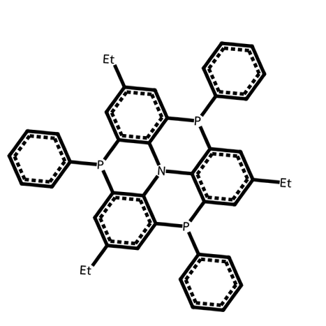 CCc1cc2c3c(c1)P(c1ccccc1)c1cc(CC)cc4c1N3c1c(cc(CC)cc1P4c1ccccc1)P2c1ccccc1